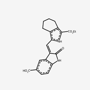 CCOC(=O)c1[nH]c(/C=C2\C(=O)Nc3ccc(C(=O)O)cc32)c2c1CCCC2